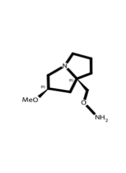 CO[C@H]1CN2CCC[C@]2(CON)C1